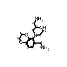 NCc1ccc2c(c1N1CCNC(CN)C1)OCCO2